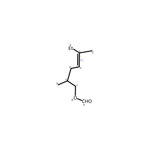 CC/C(C)=C\CC(C)COC=O